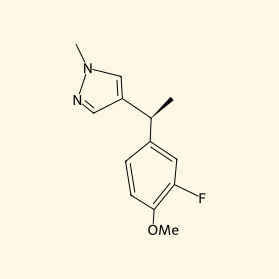 COc1ccc([C@H](C)c2cnn(C)c2)cc1F